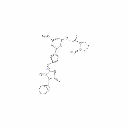 COc1cc(OCC(=O)N2CCC[C@H]2C(=O)O)cc(-c2ccc(/C=C3\SC(=S)N(C4CC5CCC4C5)C3=O)o2)c1